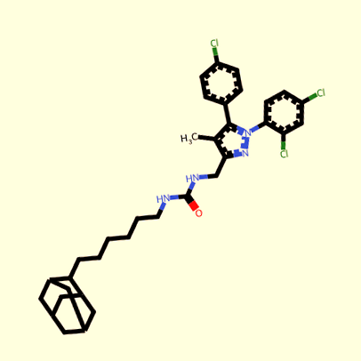 Cc1c(CNC(=O)NCCCCCCC2C3CC4CC(C3)CC2C4)nn(-c2ccc(Cl)cc2Cl)c1-c1ccc(Cl)cc1